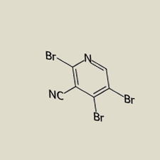 N#Cc1c(Br)ncc(Br)c1Br